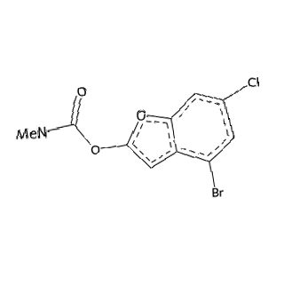 CNC(=O)Oc1cc2c(Br)cc(Cl)cc2o1